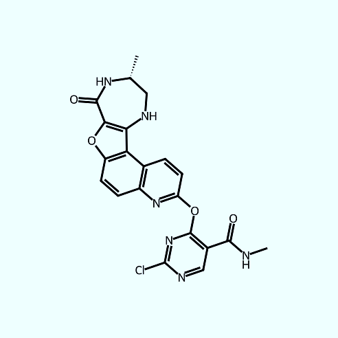 CNC(=O)c1cnc(Cl)nc1Oc1ccc2c(ccc3oc4c(c32)NC[C@@H](C)NC4=O)n1